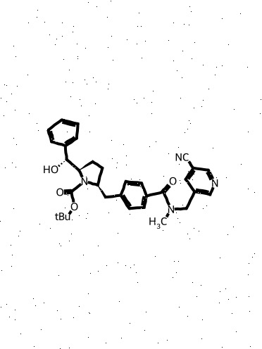 CN(Cc1cncc(C#N)c1)C(=O)c1ccc(C[C@@H]2CC[C@H]([C@H](O)c3ccccc3)N2C(=O)OC(C)(C)C)cc1